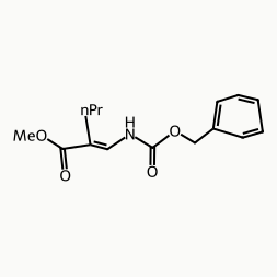 CCC/C(=C\NC(=O)OCc1ccccc1)C(=O)OC